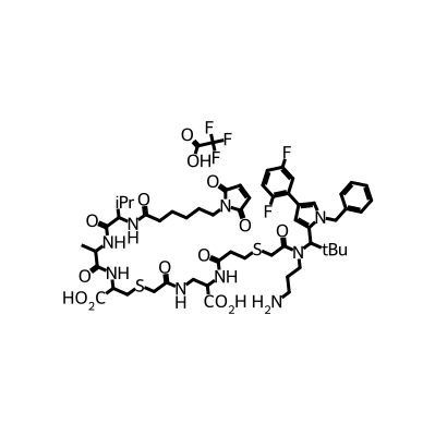 CC(NC(=O)C(NC(=O)CCCCCN1C(=O)C=CC1=O)C(C)C)C(=O)NC(CSCC(=O)NCC(NC(=O)CCSCC(=O)N(CCCN)C(c1cc(-c2cc(F)ccc2F)cn1Cc1ccccc1)C(C)(C)C)C(=O)O)C(=O)O.O=C(O)C(F)(F)F